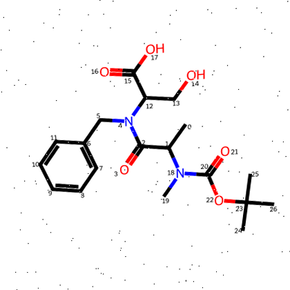 CC(C(=O)N(Cc1ccccc1)C(CO)C(=O)O)N(C)C(=O)OC(C)(C)C